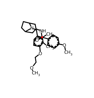 COCCOc1ccc(CN2C3CCC2CC(NC(=O)c2ccc(OC)cc2)C3)c(C)c1C